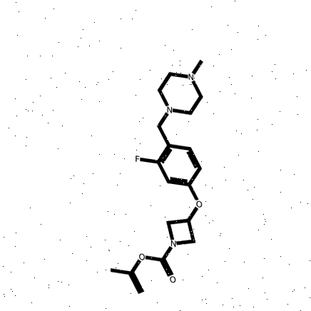 C=C(C)OC(=O)N1CC(Oc2ccc(CN3CCN(C)CC3)c(F)c2)C1